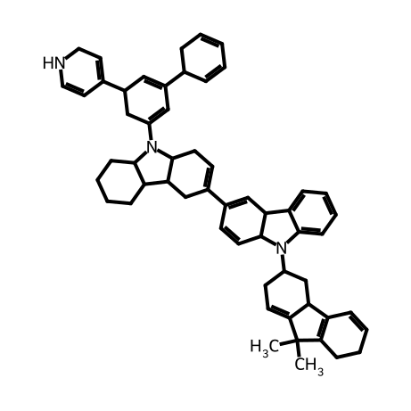 CC1(C)C2=CCC(N3c4ccccc4C4C=C(C5=CCC6C(C5)C5CCCCC5N6C5=CC(C6C=CC=CC6)=CC(C6=CCNC=C6)C5)C=CC43)CC2C2=C1CCC=C2